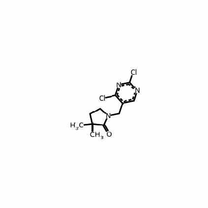 CC1(C)CCN(Cc2cnc(Cl)nc2Cl)C1=O